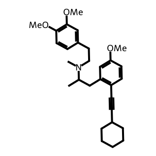 COc1ccc(C#CC2CCCCC2)c(CC(C)N(C)CCc2ccc(OC)c(OC)c2)c1